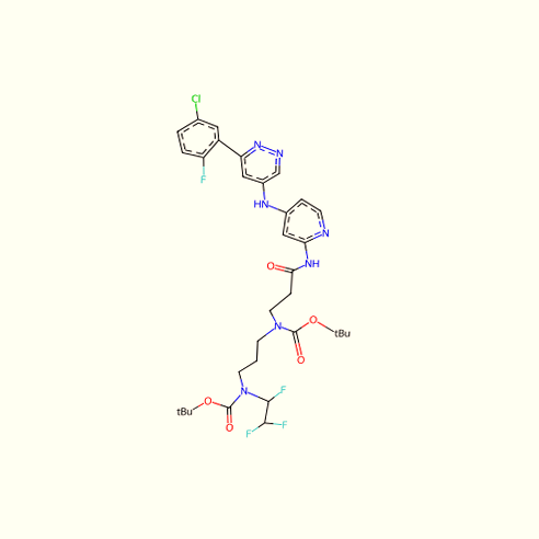 CC(C)(C)OC(=O)N(CCCN(C(=O)OC(C)(C)C)C(F)C(F)F)CCC(=O)Nc1cc(Nc2cnnc(-c3cc(Cl)ccc3F)c2)ccn1